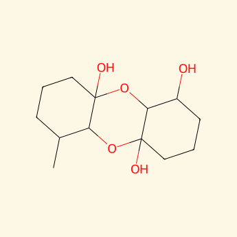 CC1CCCC2(O)OC3C(O)CCCC3(O)OC12